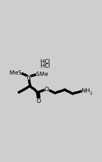 CSN(SC)C(C)C(=O)OCCCN.Cl.Cl